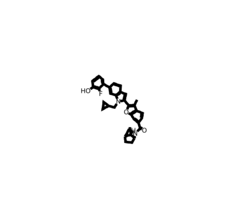 Cc1c(-c2cc3ccc(-c4cccc(O)c4F)cc3n2CC2CC2)oc2cc(C(=O)N3CC4CCC3[C@@H]4C)ccc12